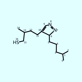 CC(C)CCCC1N=NC=C1CCC(C)CS